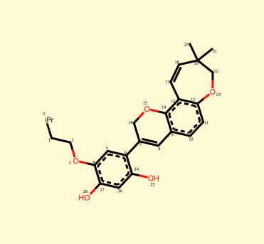 CC(C)CCOc1cc(C2=Cc3ccc4c(c3OC2)C=CC(C)(C)CO4)c(O)cc1O